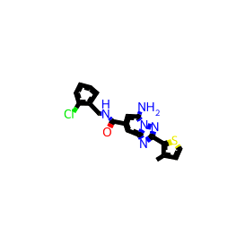 Cc1ccsc1-c1nc2cc(C(=O)NCc3ccccc3Cl)cc(N)n2n1